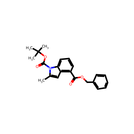 Cc1cc2c(C(=O)OCc3ccccc3)cccc2n1C(=O)OC(C)(C)C